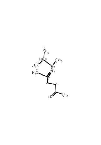 CC(=O)CCC(C)=NN(C)[SiH](C)C